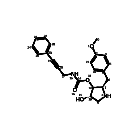 COc1ccc(C[C@H]2NC[C@H](O)[C@H]2OC(=O)NCC#Cc2ccccc2)cc1